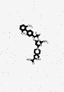 Cc1cccc(C)c1-c1ccc([C@@H](Oc2cc(N3CCC4(CC3)CNC(C(=O)O)C4)nc(N)n2)C(F)(F)F)cc1